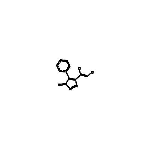 O=C1N=NC(C(Cl)=CCl)=C1c1ccccc1